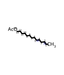 C/C=C/C/C=C/CCCCCCCCOC(C)=O